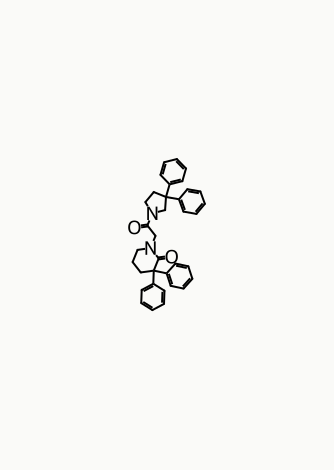 O=C(CN1CCCC(c2ccccc2)(c2ccccc2)C1=O)N1CCC(c2ccccc2)(c2ccccc2)C1